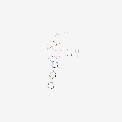 C[Si](C)(C)CCOCn1c(O[C@@H]2CO[C@H]3[C@@H]2OC[C@H]3OCC=O)nc2nc(-c3ccc(-c4ccccc4)cc3)c(Cl)cc21